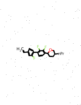 C=Cc1ccc(-c2ccc(C3CCC(CCC)CO3)c(F)c2F)c(F)c1